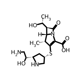 C[C@@H](O)[C@H]1C(=O)N2C(C(=O)O)=C(S[C@@H]3CN[C@H](C(O)CN)C3)[C@H](C)[C@H]12